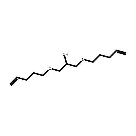 C=CCCCOCC(O)COCCCC=C